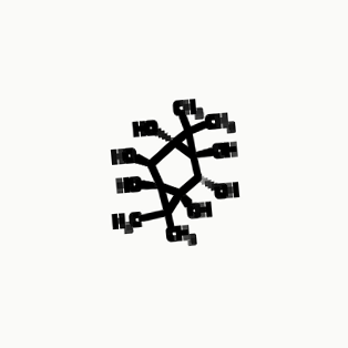 CC1(C)[C@]2(O)[C@H](O)[C@@]3(O)C(C)(C)[C@@]3(O)[C@@H](O)[C@@]12O